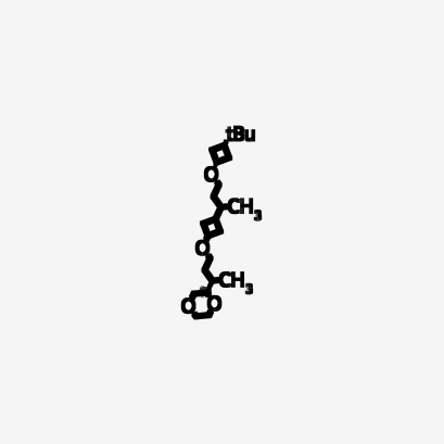 CC(CCO[C@H]1C[C@H](C(C)(C)C)C1)C1CC(OCCC(C)[C@@H]2COCCO2)C1